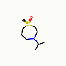 C=S1(=O)CCCN(C(C)C)CC1